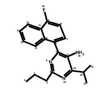 CCCc1nc(-c2ccc(F)c3ccccc23)c(N)c(C(C)C)n1